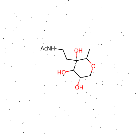 CC(=O)NCC[C@@]1(O)C(C)OC[C@H](O)C1O